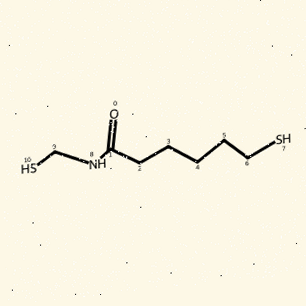 O=C(CCCCCS)NCS